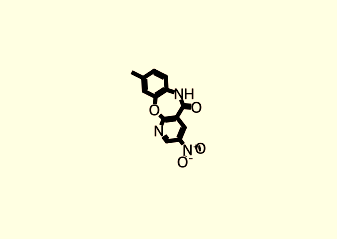 Cc1ccc2c(c1)Oc1ncc([N+](=O)[O-])cc1C(=O)N2